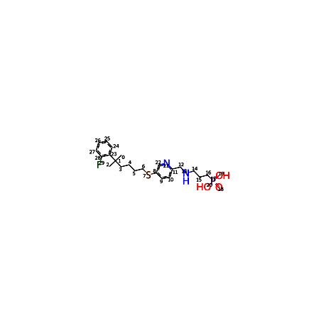 CC(C)(CCCCSc1ccc(CNCCCP(=O)(O)O)nc1)c1ccccc1F